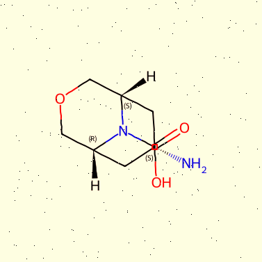 N[C@H]1C[C@H]2COC[C@@H](C1)N2C(=O)O